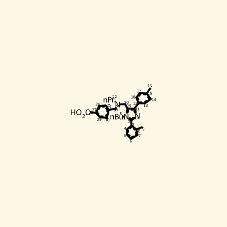 CCCCn1c(-c2ccccc2C)nc(-c2ccc(C)cc2)c1CN(CCC)Cc1ccc(C(=O)O)cc1